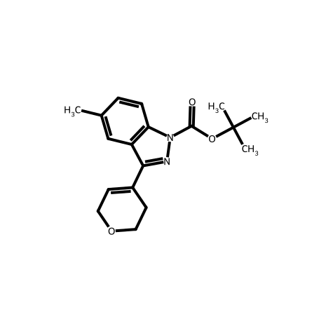 Cc1ccc2c(c1)c(C1=CCOCC1)nn2C(=O)OC(C)(C)C